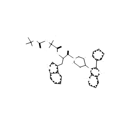 CC(C)(C)OC(=O)NC(C)(C)C(=O)NC(Cc1c[nH]c2ccccc12)C(=O)N1CCC(n2c(-c3ccccc3)nc3cccnc32)CC1